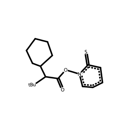 CC(C)(C)C(C(=O)On1ccccc1=S)C1CCCCC1